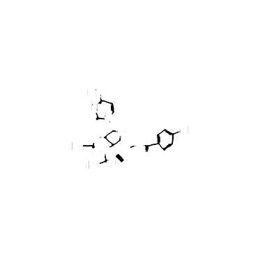 C#C[C@@]1(OC(=O)C(C)C)[C@@H](COC(=O)c2ccc(Cl)cc2)O[C@@H](n2ccc(N)nc2=O)[C@@H]1OC(=O)C(C)C